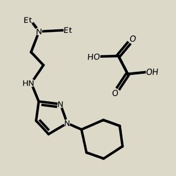 CCN(CC)CCNc1ccn(C2CCCCC2)n1.O=C(O)C(=O)O